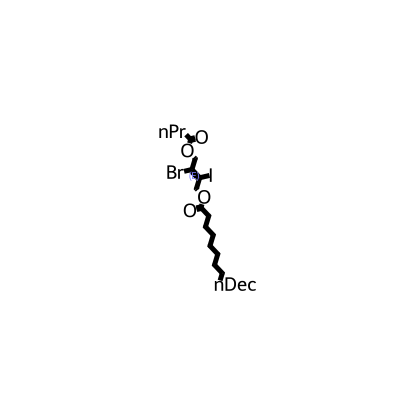 CCCCCCCCCCCCCCCCCC(=O)OC/C(I)=C(\Br)COC(=O)CCC